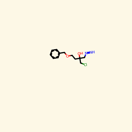 N=NCC(O)(CCl)CCOCc1ccccc1